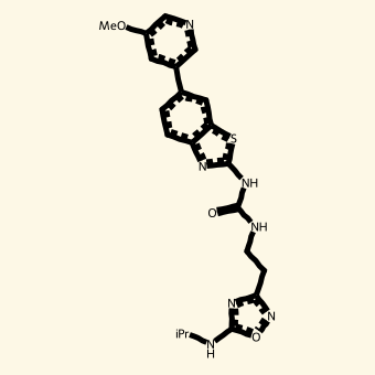 COc1cncc(-c2ccc3nc(NC(=O)NCCc4noc(NC(C)C)n4)sc3c2)c1